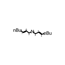 CCCC/C=C/C[N]C/C=C/CCCC